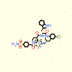 CN(C)C[C@@H]1Cc2cc(Cl)ccc2N(C(=O)[C@@H](Cc2c[nH]c3ccccc23)NC(=O)C2CCN(C(=O)c3ccc(S(N)(=O)=O)cc3)CC2)C1